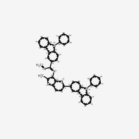 C=N/C(=N\c1c(C)sc2ccc(-c3ccc4c(c3)c3ccccc3n4-c3ccccc3)nc12)c1ccc2c(c1)c1ccccc1n2-c1ccccc1